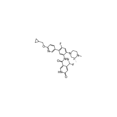 C[C@@H]1CN(c2cc(F)c(-c3ccc(OCC4CC4)nc3)cc2NC(=O)c2c[nH]c(=O)cc2C(F)F)CCN1C